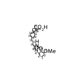 COc1cccc(Cn2cc(CCCc3ccc(OC(C)(C)C(=O)O)cc3)[nH]c2=O)c1